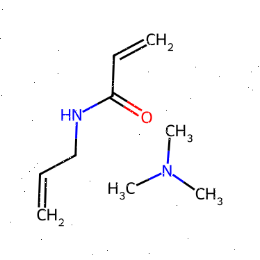 C=CCNC(=O)C=C.CN(C)C